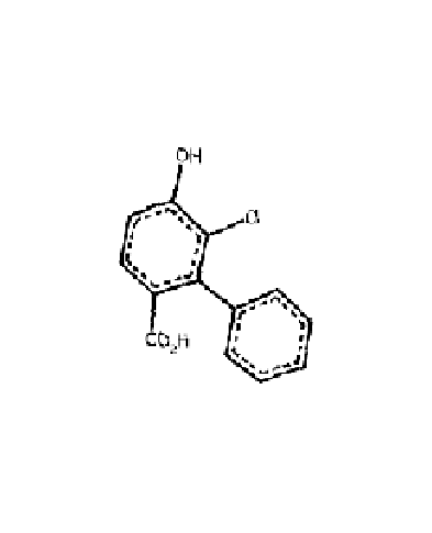 O=C(O)c1ccc(O)c(Cl)c1-c1ccccc1